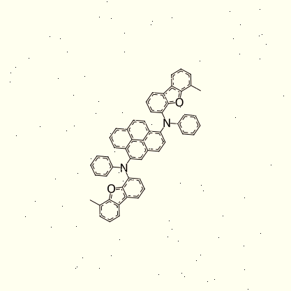 Cc1cccc2c1oc1c(N(c3ccccc3)c3cc4ccc(N(c5ccccc5)c5cccc6c5oc5c(C)cccc56)c5ccc6cccc3c6c45)cccc12